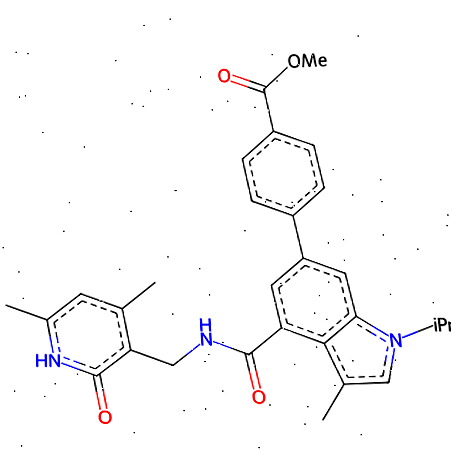 COC(=O)c1ccc(-c2cc(C(=O)NCc3c(C)cc(C)[nH]c3=O)c3c(C)cn(C(C)C)c3c2)cc1